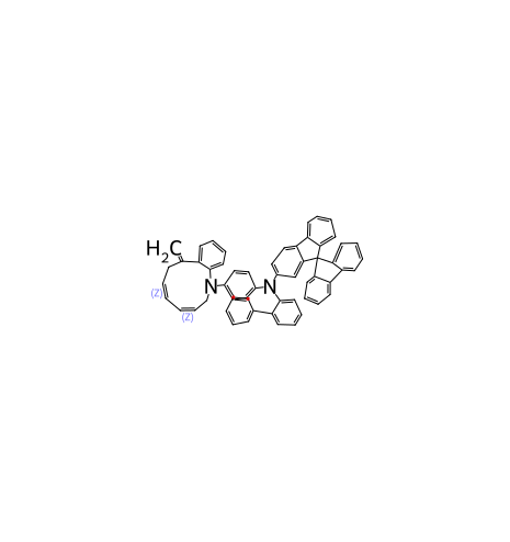 C=C1C/C=C\C=C/CN(c2ccc(N(c3ccc4c(c3)C3(c5ccccc5-c5ccccc53)c3ccccc3-4)c3ccccc3-c3ccccc3)cc2)c2ccccc21